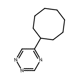 c1nncc(C2CCCCCCC2)n1